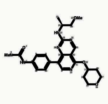 CNC(=O)Nc1ccc(-c2cnc(OC3CCOCC3)c3cnc(N[C@@H](C)COC)nc23)cc1